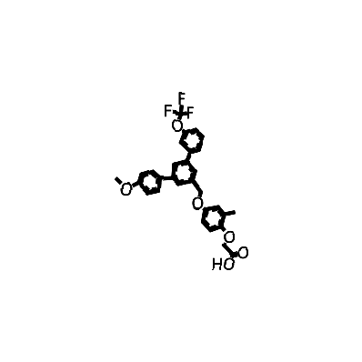 COc1ccc(-c2cc(COc3ccc(OCC(=O)O)c(C)c3)cc(-c3cccc(OC(F)(F)F)c3)c2)cc1